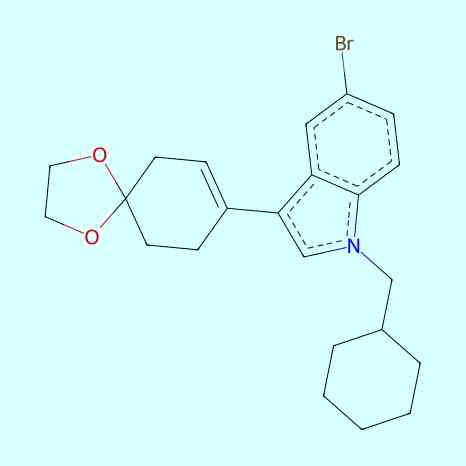 Brc1ccc2c(c1)c(C1=CCC3(CC1)OCCO3)cn2CC1CCCCC1